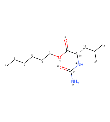 CCCCCCOC(=O)[C@H](CC(C)C)NC(N)=O